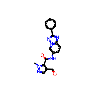 Cn1ncc(C=O)c1C(=O)Nc1ccc2nc(-c3ccccc3)nn2c1